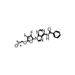 CP(C)(=O)CO[C@H]1O[C@@H](n2cnc3c(NC(=O)c4ccccc4)ncnc32)C(F)[C@@H]1I